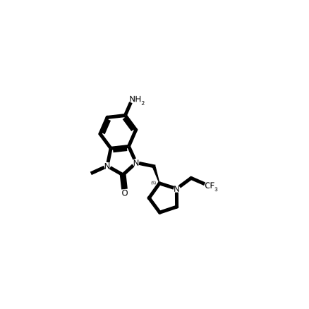 Cn1c(=O)n(C[C@@H]2CCCN2CC(F)(F)F)c2cc(N)ccc21